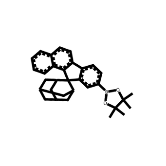 CC1(C)OB(c2ccc3c(c2)C2(c4c-3ccc3ccccc43)C3CC4CC(C3)CC2C4)OC1(C)C